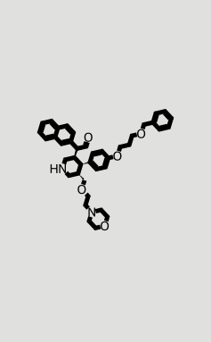 O=CC(c1ccc2ccccc2c1)[C@@H]1CNC[C@@H](COCCN2CCOCC2)[C@H]1c1ccc(OCCCOCc2ccccc2)cc1